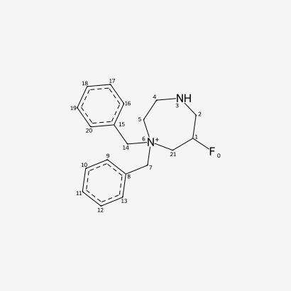 FC1CNCC[N+](Cc2ccccc2)(Cc2ccccc2)C1